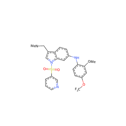 CNCc1cn(S(=O)(=O)c2cccnc2)c2cc(Nc3ccc(OC(F)(F)F)cc3OC)ccc12